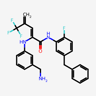 C=C(/C=C(\Nc1cccc(CN)c1)C(=O)Nc1cc(Cc2ccccc2)ccc1F)C(F)(F)F